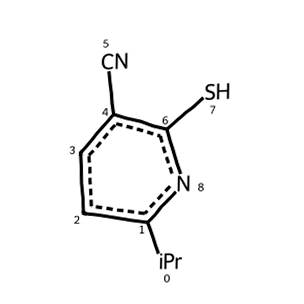 CC(C)c1ccc(C#N)c(S)n1